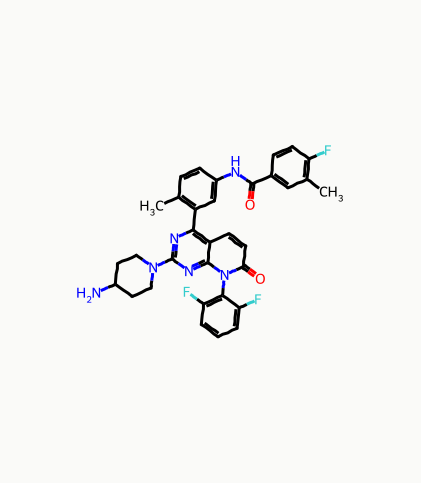 Cc1cc(C(=O)Nc2ccc(C)c(-c3nc(N4CCC(N)CC4)nc4c3ccc(=O)n4-c3c(F)cccc3F)c2)ccc1F